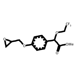 COC(=O)C(OCC(F)(F)F)c1ccc(OCC2CO2)cc1